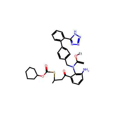 C=C(OCC)N(Cc1ccc(-c2ccccc2-c2nnn[nH]2)cc1)c1c(N)cccc1C(=O)CC(C)SC(=O)OC1CCCCC1